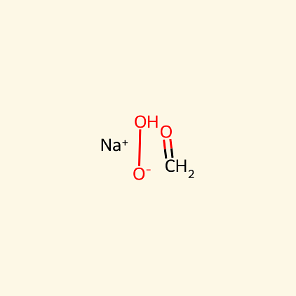 C=O.[Na+].[O-]O